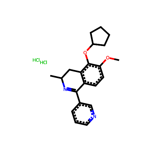 COc1ccc2c(c1OC1CCCC1)CC(C)N=C2c1cccnc1.Cl.Cl